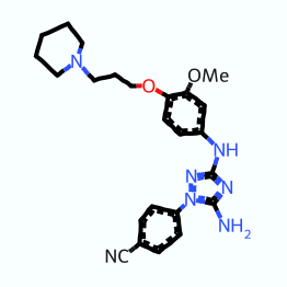 COc1cc(Nc2nc(N)n(-c3ccc(C#N)cc3)n2)ccc1OCCCN1CCCCC1